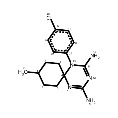 CC1CCC2(CC1)N=C(N)N=C(N)N2c1ccc(Cl)cc1